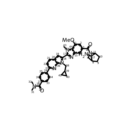 COc1cc(C(=O)N2CC3CCC2C3N)cc2nc(-c3cc4ccc(-c5ccc(C(=O)N(C)C)cc5)nc4n3CC3CC3)n(C)c12